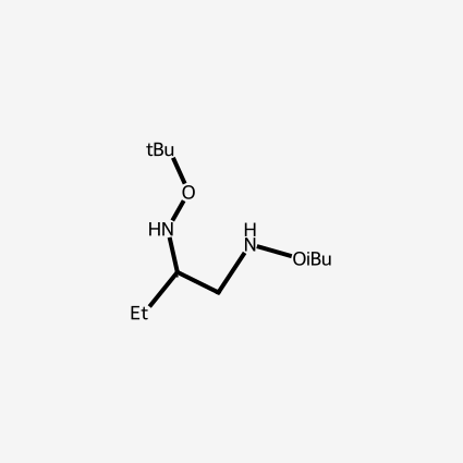 CC[C](CNOCC(C)C)NOC(C)(C)C